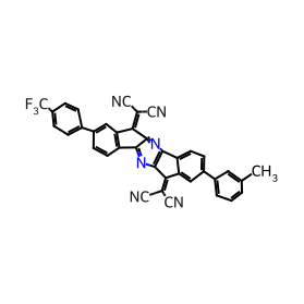 Cc1cccc(-c2ccc3c(c2)C(=C(C#N)C#N)c2nc4c(nc2-3)C(=C(C#N)C#N)c2cc(-c3ccc(C(F)(F)F)cc3)ccc2-4)c1